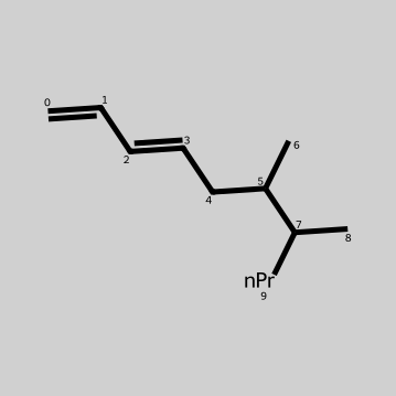 C=CC=CCC(C)C(C)CCC